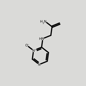 C=C(N)CNc1ccnc[n+]1[O-]